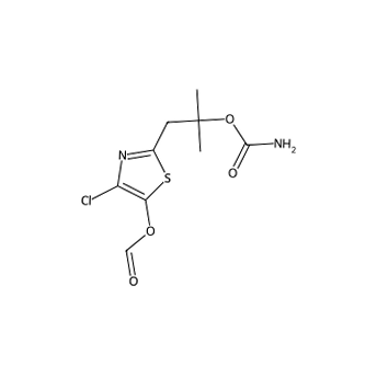 CC(C)(Cc1nc(Cl)c(OC=O)s1)OC(N)=O